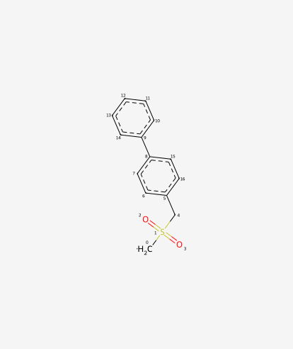 [CH2]S(=O)(=O)Cc1ccc(-c2ccccc2)cc1